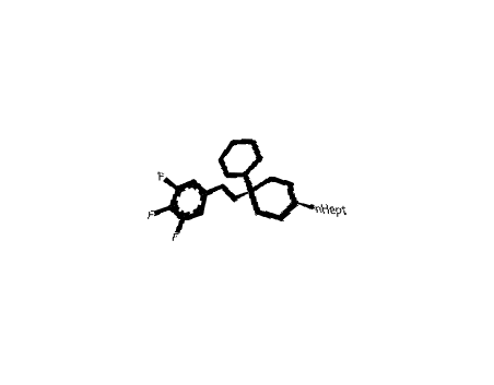 CCCCCCC[C@H]1CC[C@](CCc2cc(F)c(F)c(F)c2)(C2CCCCC2)CC1